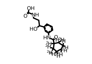 [2H]C1([2H])C([2H])([2H])C([2H])([2H])C([2H])(C(=O)Nc2cccc(C(O)CCNC(=O)O)c2)C([2H])([2H])C1([2H])[2H]